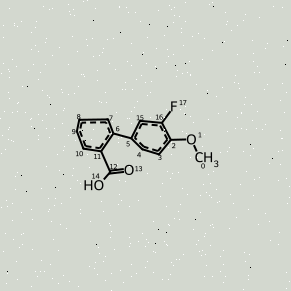 COc1ccc(-c2ccccc2C(=O)O)cc1F